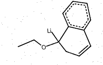 [Li][C]1(OCC)CC=Cc2ccccc21